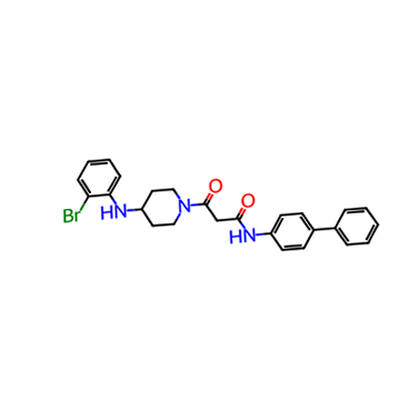 O=C(CC(=O)N1CCC(Nc2ccccc2Br)CC1)Nc1ccc(-c2ccccc2)cc1